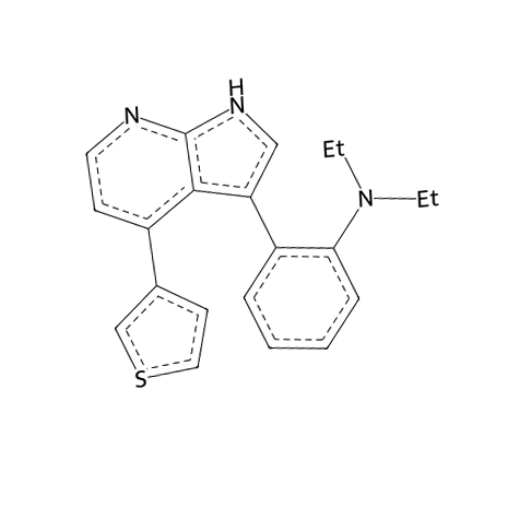 CCN(CC)c1ccccc1-c1c[nH]c2nccc(-c3ccsc3)c12